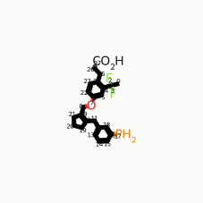 CC(F)(F)c1cc(OCC2=C(Cc3cccc(P)c3)CCC2)ccc1CCC(=O)O